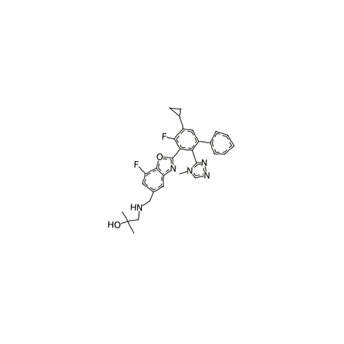 Cn1cnnc1-c1c(-c2ccccc2)cc(C2CC2)c(F)c1-c1nc2cc(CNCC(C)(C)O)cc(F)c2o1